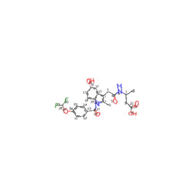 Cc1c(CC(=O)NC(C)CC(=O)O)c2cc(O)ccc2n1C(=O)c1ccc(OC(F)F)cc1